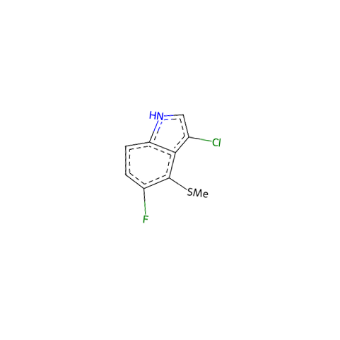 CSc1c(F)ccc2[nH]cc(Cl)c12